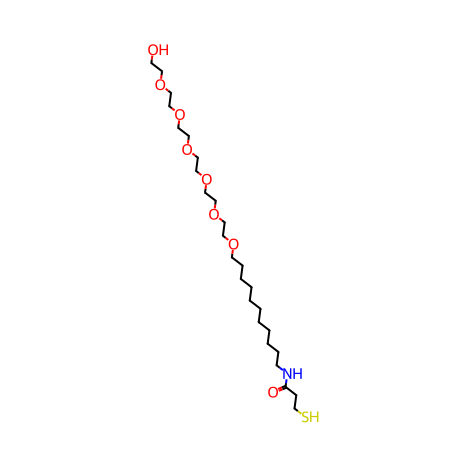 O=C(CCS)NCCCCCCCCCCCOCCOCCOCCOCCOCCOCCO